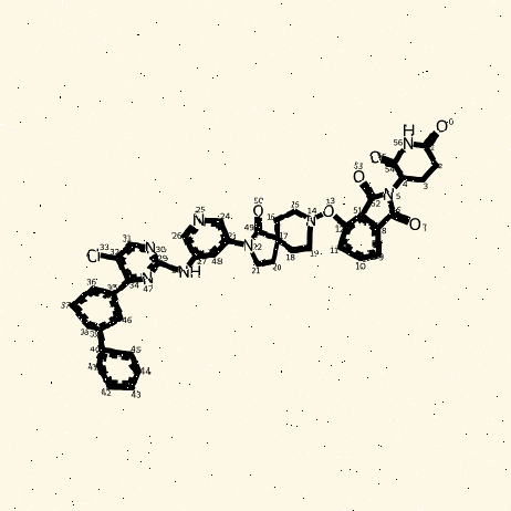 O=C1CCC(N2C(=O)c3cccc(ON4CCC5(CC4)CCN(c4cncc(Nc6ncc(Cl)c(-c7cccc(-c8ccccc8)c7)n6)c4)C5=O)c3C2=O)C(=O)N1